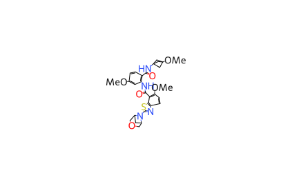 COc1ccc(C(=O)NC23CC(OC)(C2)C3)c(NC(=O)c2c(OC)ccc3nc(N4C5COCC4C5)sc23)c1